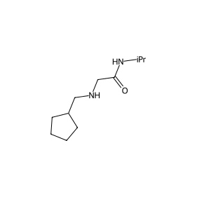 CC(C)NC(=O)CNCC1CCCC1